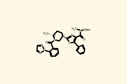 CON(C)C(=O)c1nc([C@@H]2CC[C@@H](C)N(C(=O)c3ccccc3-n3nccn3)C2)oc1-c1ccccc1